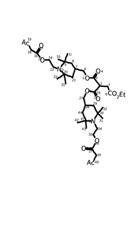 CCOC(=O)CC(C(=O)OCC1CC(C)(C)N(CCOC(=O)CC(C)=O)C(C)(C)C1)C(=O)OCC1CC(C)(C)N(CCOC(=O)CC(C)=O)C(C)(C)C1